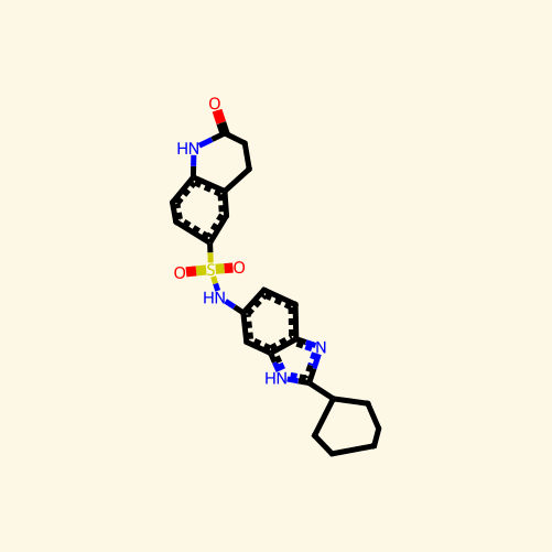 O=C1CCc2cc(S(=O)(=O)Nc3ccc4nc(C5CCCCC5)[nH]c4c3)ccc2N1